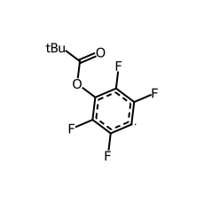 CC(C)(C)C(=O)Oc1c(F)c(F)[c]c(F)c1F